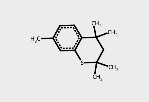 Cc1ccc2c(c1)SC(C)(C)CC2(C)C